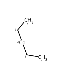 C[CH2][Co][CH2]C